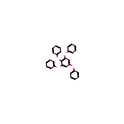 [c]1c(Oc2ccccc2)cc(Oc2ccccc2)c(Oc2ccccc2)c1Oc1ccccc1